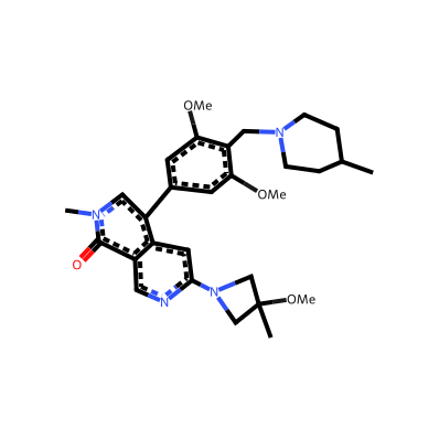 COc1cc(-c2cn(C)c(=O)c3cnc(N4CC(C)(OC)C4)cc23)cc(OC)c1CN1CCC(C)CC1